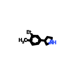 CCc1cc(C2CCNC2)ccc1C